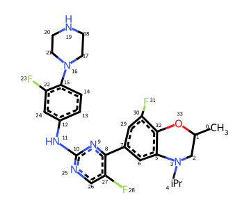 CC1CN(C(C)C)c2cc(-c3nc(Nc4ccc(N5CCNCC5)c(F)c4)ncc3F)cc(F)c2O1